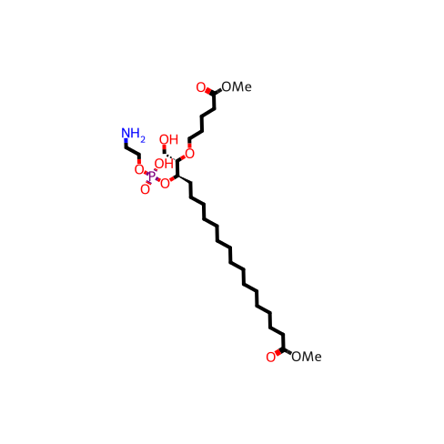 COC(=O)CCCCCCCCCCCCCCC[C@@H](OP(=O)(O)OCCN)[C@H](CO)OCCCCC(=O)OC